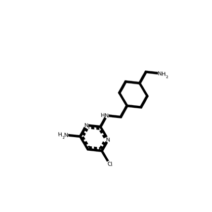 NCC1CCC(CNc2nc(N)cc(Cl)n2)CC1